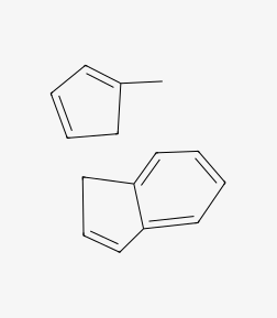 C1=Cc2ccccc2C1.CC1=CC=CC1